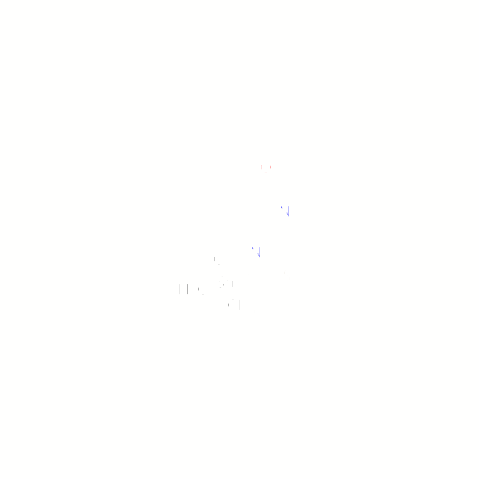 [CH3][Sn]([CH3])([CH3])[c]1csc(CN2CCOCC2)n1